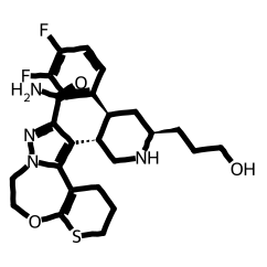 NC(=O)c1nn2c(c1[C@H]1CN[C@H](CCCO)C[C@@H]1c1ccc(F)c(F)c1)C1=C(OCC2)SCCC1